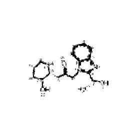 C[C@@H](O)c1nc2ccccc2n1CC(=O)C[C@H]1NCCC[C@@H]1O